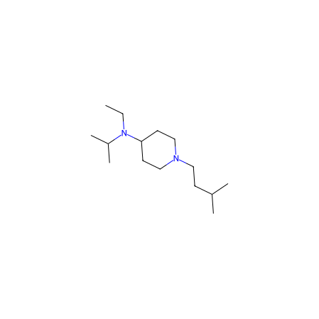 CCN(C(C)C)C1CCN(CCC(C)C)CC1